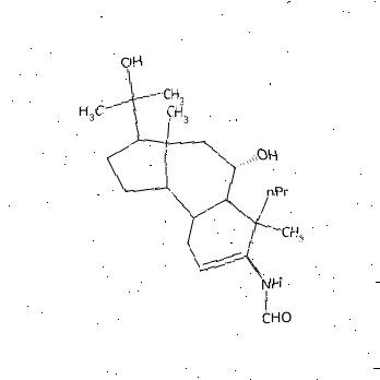 CCCC1(C)C(NC=O)=CCC2C1[C@@H](O)CC1(C)C2CCC1C(C)(C)O